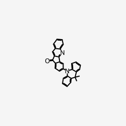 CC1(C)c2ccccc2N(c2ccc3c(c2)-c2nc4ccccc4cc2C3=O)c2ccccc21